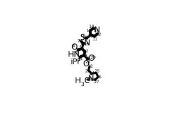 CC(C)c1[nH]c(=O)c(-c2csc(-c3ccncc3)n2)cc1C(=O)OCCC1CCCN1C